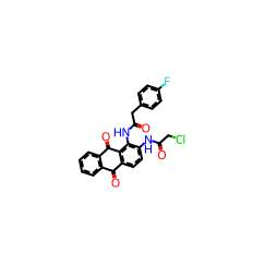 O=C(CCl)Nc1ccc2c(c1NC(=O)Cc1ccc(F)cc1)C(=O)c1ccccc1C2=O